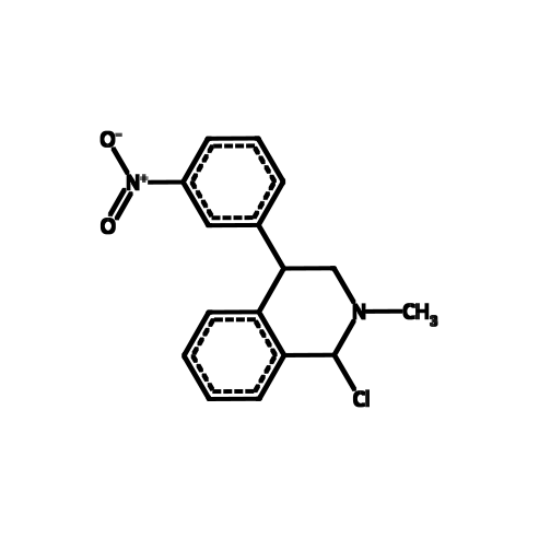 CN1CC(c2cccc([N+](=O)[O-])c2)c2ccccc2C1Cl